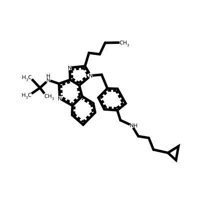 CCCCc1nc2c(NC(C)(C)C)nc3ccccc3c2n1Cc1ccc(CNCCCC2CC2)cc1